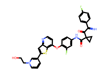 N=C(C(=O)C1(C(=O)Nc2ccc(Oc3ccnc4cc(C5=CN(CCO)C=C=C5)sc34)c(F)c2)CC1)c1ccc(F)cc1